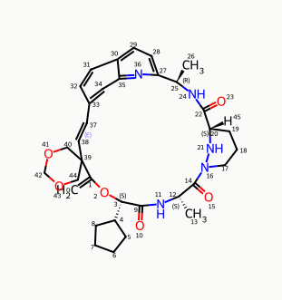 C=C1O[C@@H](C2CCCC2)C(=O)N[C@@H](C)C(=O)N2CCC[C@H](N2)C(=O)N[C@H](C)c2ccc3ccc(cc3n2)/C=C/C12COCOC2